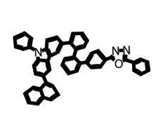 c1ccc(-c2nnc(-c3ccc(-c4ccccc4-c4ccccc4-c4ccc5c(c4)c4cc(-c6cccc7ccccc67)ccc4n5-c4ccccc4)cc3)o2)cc1